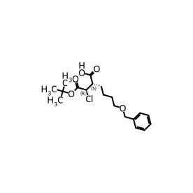 CC(C)(C)OC(=O)[C@H](Cl)[C@@H](CCCCOCc1ccccc1)C(=O)O